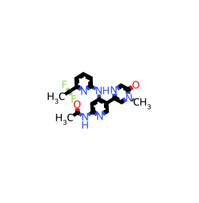 CC(=O)Nc1cc(Nc2cccc(C(C)(F)F)n2)c(-c2cn(C)c(=O)cn2)cn1